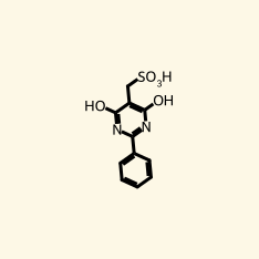 O=S(=O)(O)Cc1c(O)nc(-c2ccccc2)nc1O